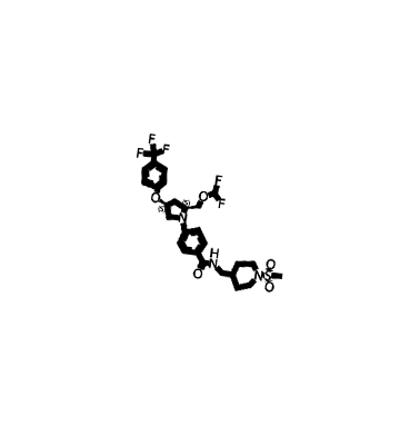 CS(=O)(=O)N1CCC(CNC(=O)c2ccc(N3C[C@@H](Oc4ccc(C(F)(F)F)cc4)C[C@H]3COC(F)F)cc2)CC1